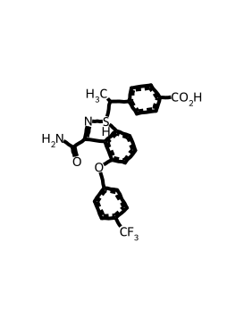 CC(c1ccc(C(=O)O)cc1)[SH]1N=C(C(N)=O)c2c(Oc3ccc(C(F)(F)F)cc3)cccc21